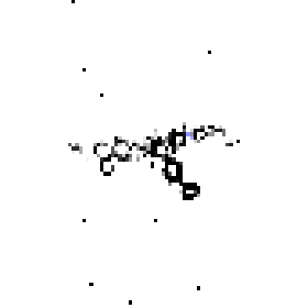 CO/N=C1/C[C@@H](c2noc(CN3CCN(C(C)=O)CC3)n2)N(C(=O)c2ccc(-c3ccccc3)cc2)C1